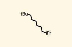 [CH2]C(C)(C)CCCCCCC(C)C